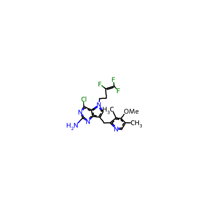 COc1c(C)cnc(Cc2cn(CCC(F)=C(F)F)c3c(Cl)nc(N)nc23)c1C